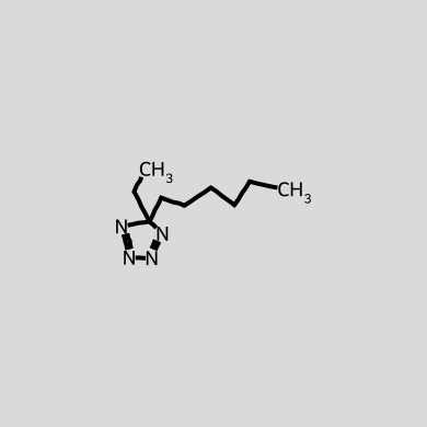 CCCCCCC1(CC)N=NN=N1